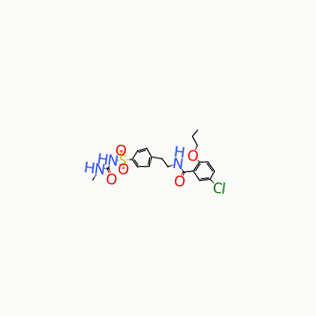 CCCOc1ccc(Cl)cc1C(=O)NCCc1ccc(S(=O)(=O)NC(=O)NC)cc1